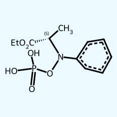 CCOC(=O)[C@H](C)N(OP(=O)(O)O)c1ccccc1